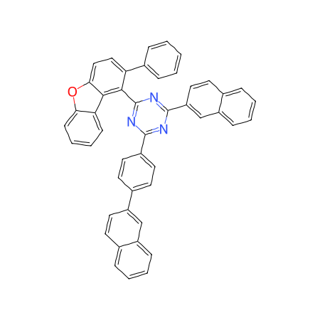 c1ccc(-c2ccc3oc4ccccc4c3c2-c2nc(-c3ccc(-c4ccc5ccccc5c4)cc3)nc(-c3ccc4ccccc4c3)n2)cc1